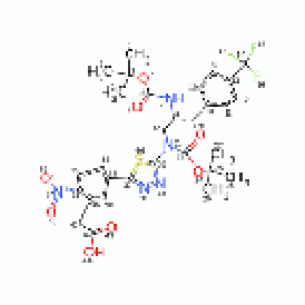 CC(C)(C)OC(=O)N[C@H](Cc1ccc(C(F)(F)F)cc1)CN(C(=O)OC(C)(C)C)c1nnc(-c2ccc([N+](=O)[O-])c(CC(=O)O)c2)s1